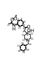 COc1ccc(C(=O)CC2(O)CCN(Cc3ccccc3)CC2)cc1NC(C)=O